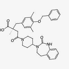 Cc1cc(C[C@@](C)(CC(=O)N2CCC(N3CCc4ccccc4NC3=O)CC2)C(=O)O)cc(C)c1OCc1ccccc1